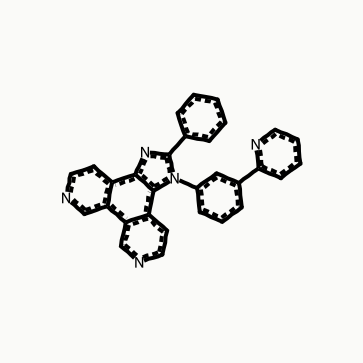 c1ccc(-c2nc3c4ccncc4c4cnccc4c3n2-c2cccc(-c3ccccn3)c2)cc1